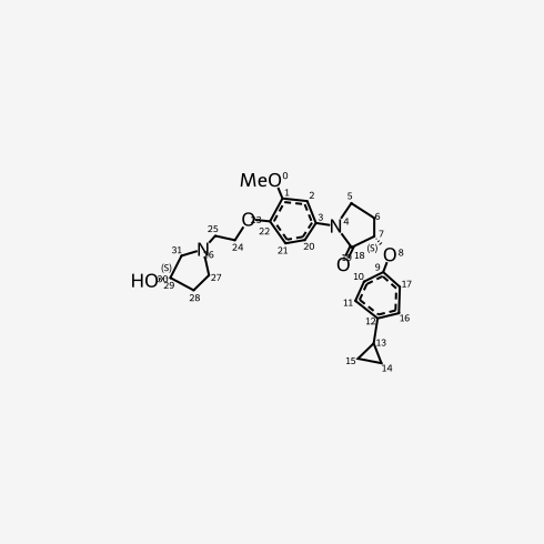 COc1cc(N2CC[C@H](Oc3ccc(C4CC4)cc3)C2=O)ccc1OCCN1CC[C@H](O)C1